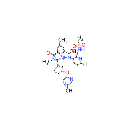 Cc1cc([C@@H](C)Nc2ccc(Cl)nc2C(=O)NS(C)(=O)=O)c2nc(N3CCC[C@@H](Oc4cnc(C)cn4)C3)n(C)c(=O)c2c1